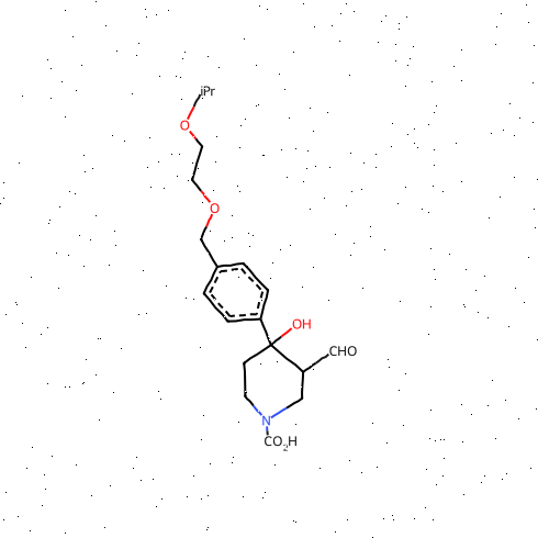 CC(C)OCCOCc1ccc(C2(O)CCN(C(=O)O)CC2C=O)cc1